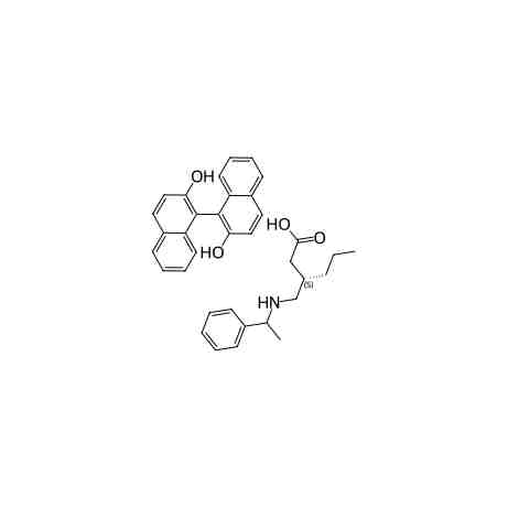 CCC[C@H](CNC(C)c1ccccc1)CC(=O)O.Oc1ccc2ccccc2c1-c1c(O)ccc2ccccc12